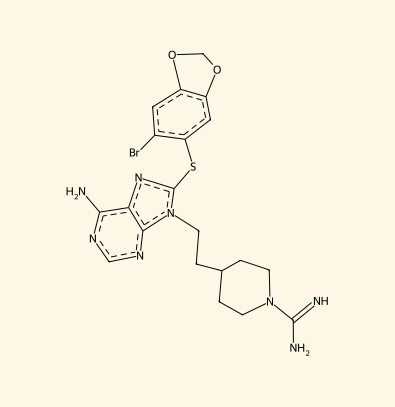 N=C(N)N1CCC(CCn2c(Sc3cc4c(cc3Br)OCO4)nc3c(N)ncnc32)CC1